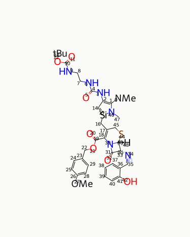 CNc1c(NC(=O)NCCNC(=O)OC(C)(C)C)c[si](CC2=C(C(=O)OCc3ccc(OC)cc3)N3C(=O)[C@@H](/N=C\c4ccccc4O)[C@H]3SC2)n1C